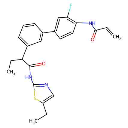 C=CC(=O)Nc1ccc(-c2cccc(C(CC)C(=O)Nc3ncc(CC)s3)c2)cc1F